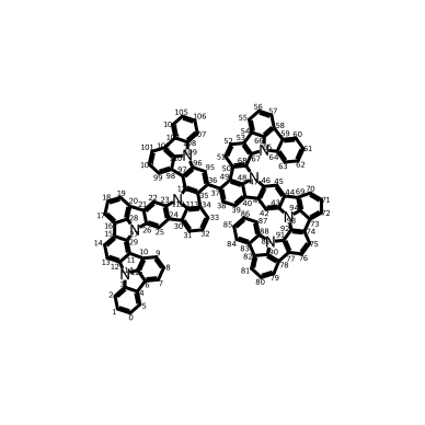 c1ccc2c(c1)c1cccc3c4c(ccc5c6cccc7c8cc9c(cc8n(c76)c54)c4cccc5c6c(-c7ccc8c%10cc%11c(cc%10n%10c8c7c7ccc8c%12cccc%13c%14ccccc%14n(c%13%12)c8c7%10)c7cccc8c%10ccc%12c%13cccc%14c%15ccccc%15n(c%14%13)c%12c%10n%11c78)cc7c(c8cccc%10c%11ccccc%11n7c%108)c6n9c45)n2c13